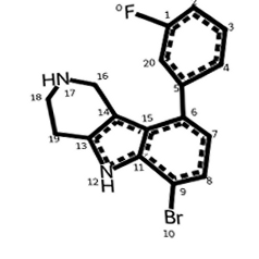 Fc1cccc(-c2ccc(Br)c3[nH]c4c(c23)CNCC4)c1